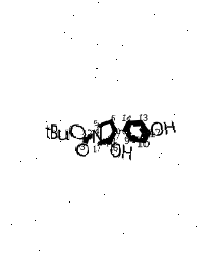 CC(C)(C)OC(=O)N1CC[C@H](c2ccc(O)cc2)[C@@H](O)C1